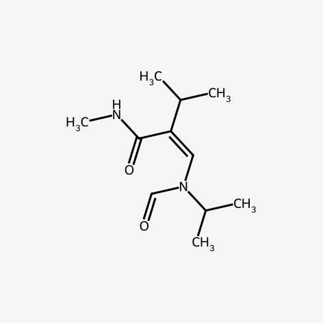 CNC(=O)/C(=C\N(C=O)C(C)C)C(C)C